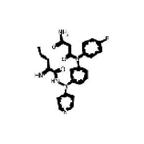 CCCC(=N)C(=O)NN(c1ccncc1)c1cccc(N(C(=O)CC(N)=O)c2ccc(F)cc2)c1